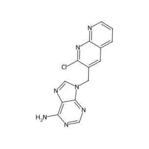 Nc1ncnc2c1ncn2Cc1cc2cccnc2nc1Cl